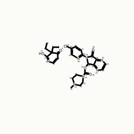 CCC1(CC)C(=O)C=CN=C1O.CN1CCN(C(=O)OC2c3nccnc3C(=O)N2c2ccc(Cl)cn2)CC1